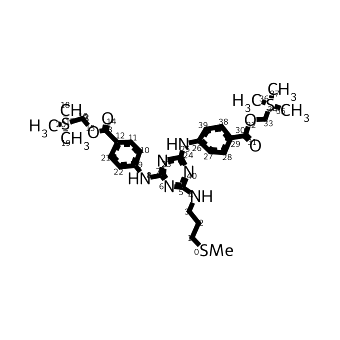 CSCCCNc1nc(Nc2ccc(C(=O)OCS(C)(C)C)cc2)nc(Nc2ccc(C(=O)OCS(C)(C)C)cc2)n1